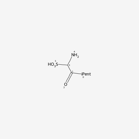 CCCC(C)C(=O)C(N)S(=O)(=O)O